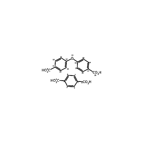 O=C(O)c1ccc(C(=O)O)cc1.O=C(O)c1ccc(Oc2ccc(C(=O)O)cc2)cc1